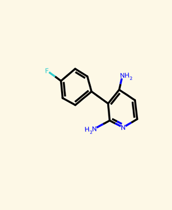 Nc1ccnc(N)c1-c1ccc(F)cc1